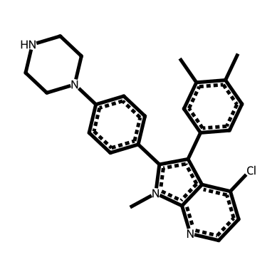 Cc1ccc(-c2c(-c3ccc(N4CCNCC4)cc3)n(C)c3nccc(Cl)c23)cc1C